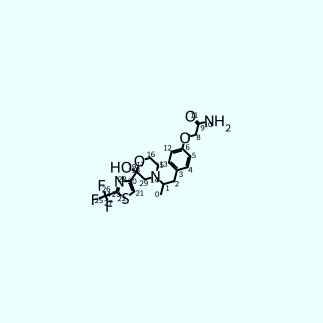 CC(Cc1ccc(OCC(N)=O)cc1)N1CCOC(O)(c2csc(C(F)(F)F)n2)C1